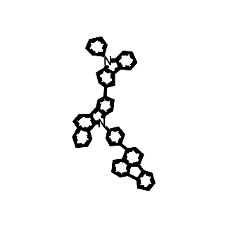 c1ccc(-n2c3ccccc3c3cc(-c4ccc5c(c4)c4ccc6ccccc6c4n5-c4ccc(-c5ccc6c7c(cccc57)-c5ccccc5-6)cc4)ccc32)cc1